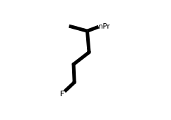 CCCC(C)CCCF